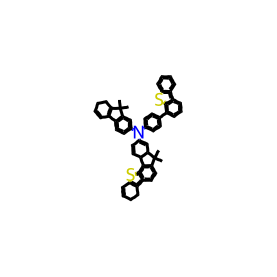 CC1(C)C2=C(C=CCC2)c2ccc(N(C3=CC4C(C=C3)c3c(ccc5c6c(sc35)C=CCC6)C4(C)C)c3ccc(-c4cccc5c4sc4ccccc45)cc3)cc21